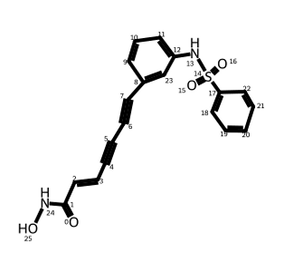 O=C(C=CC#CC#Cc1cccc(NS(=O)(=O)c2ccccc2)c1)NO